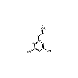 C=CC[n+]1cc(O)cc(CCC)c1